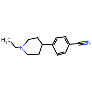 CCN1CCC(c2ccc(C#N)cc2)CC1